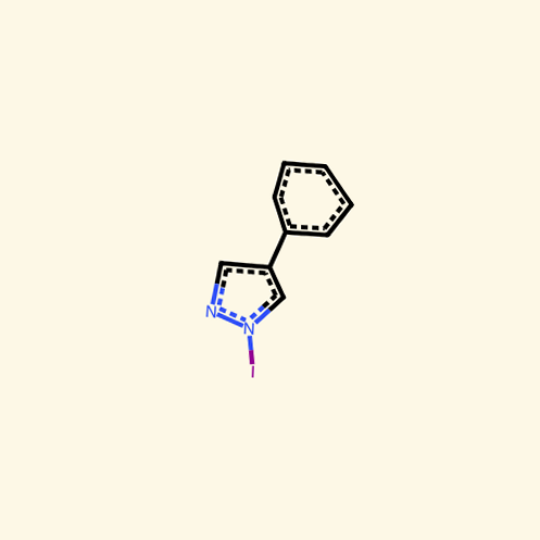 In1cc(-c2ccccc2)cn1